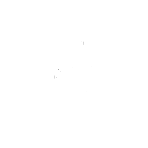 COc1cc(C)cc(-c2c(-c3ccc(-c4cccnc4)nc3)cnn2CC#N)c1